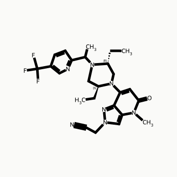 CC[C@H]1CN(C(C)c2ccc(C(F)(F)F)cn2)[C@H](CC)CN1c1cc(=O)n(C)c2cn(CC#N)nc12